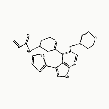 C=CC(=O)NC1CCC=C(c2c(CN3CCOCC3)cnc3[nH]cc(-c4ccco4)c23)C1